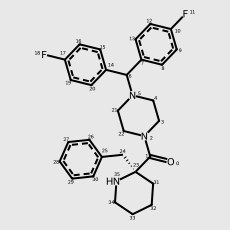 O=C(N1CCN(C(c2ccc(F)cc2)c2ccc(F)cc2)CC1)[C@@]1(Cc2ccccc2)CCCCN1